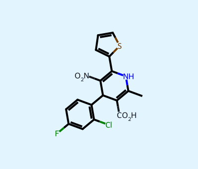 CC1=C(C(=O)O)C(c2ccc(F)cc2Cl)C([N+](=O)[O-])=C(c2cccs2)N1